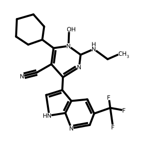 CCNC1N=C(c2c[nH]c3ncc(C(F)(F)F)cc23)C(C#N)=C(C2CCCCC2)N1O